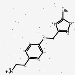 CC(C)(C)c1nc(CSc2ccc(CCN)cc2)no1